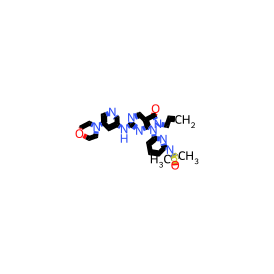 C=CCn1c(=O)c2cnc(Nc3cncc(N4CCOCC4)c3)nc2n1-c1cccc(N=S(C)(C)=O)n1